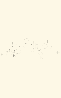 C[C@@H]1CCC[C@H](C)N1c1nnc2ccc(O[C@@H]3CC[C@H](NC(=O)Nc4cc(C(C)(C)C)nn4-c4ccc(F)c(OCCO)c4)c4ccccc43)cn12